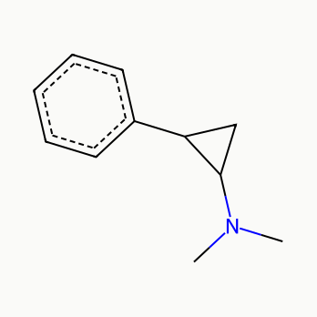 CN(C)C1CC1c1ccccc1